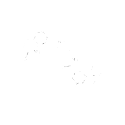 O=C1CCc2ccc(CN3CCC(NC(=O)c4cc(F)cc(C(F)(F)F)c4)CC3)cc2N1